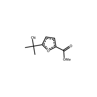 COC(=O)c1ccc(C(C)(C)C#N)o1